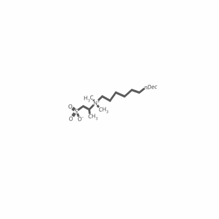 CCCCCCCCCCCCCCCC[N+](C)(C)C(C)CS(=O)(=O)[O-]